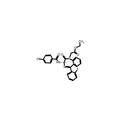 CCOC(=O)CN1C(=O)[C@@H](NC(=O)c2ccc(Cl)cc2)N=C(c2ccccc2F)c2ccccc21